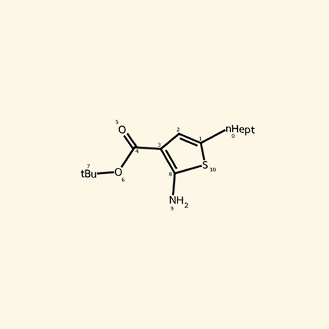 CCCCCCCc1cc(C(=O)OC(C)(C)C)c(N)s1